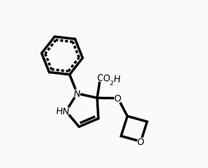 O=C(O)C1(OC2COC2)C=CNN1c1ccccc1